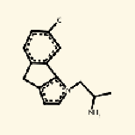 CC(N)Cn1ccc2c1-c1cc(Cl)ccc1C2